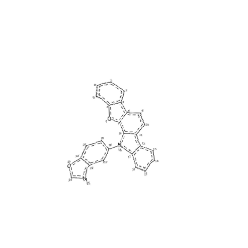 c1ccc2c(c1)oc1c2ccc2c3ccccc3n(-c3ccc4ocnc4c3)c21